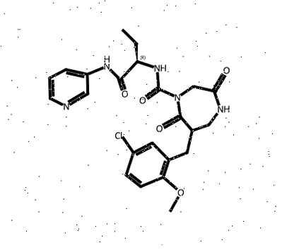 CC[C@@H](NC(=O)N1CC(=O)NCC(Cc2cc(Cl)ccc2OC)C1=O)C(=O)Nc1cccnc1